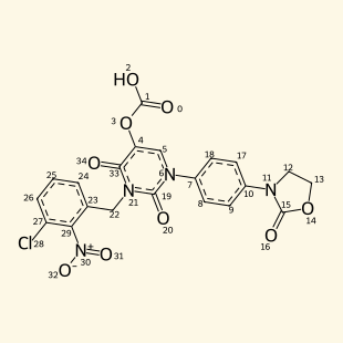 O=C(O)Oc1cn(-c2ccc(N3CCOC3=O)cc2)c(=O)n(Cc2cccc(Cl)c2[N+](=O)[O-])c1=O